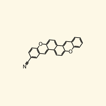 N#Cc1ccc2c(c1)C=c1c(ccc3c4c(ccc13)Oc1ccccc1C=4)O2